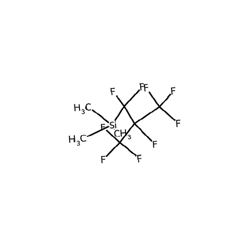 C[Si](C)(C)C(F)(F)C(F)(C(F)(F)F)C(F)(F)F